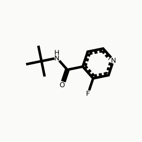 CC(C)(C)NC(=O)c1ccncc1F